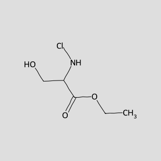 CCOC(=O)C(CO)NCl